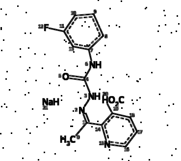 CC(=NNC(=O)Nc1cccc(F)c1)c1ncccc1C(=O)O.[NaH]